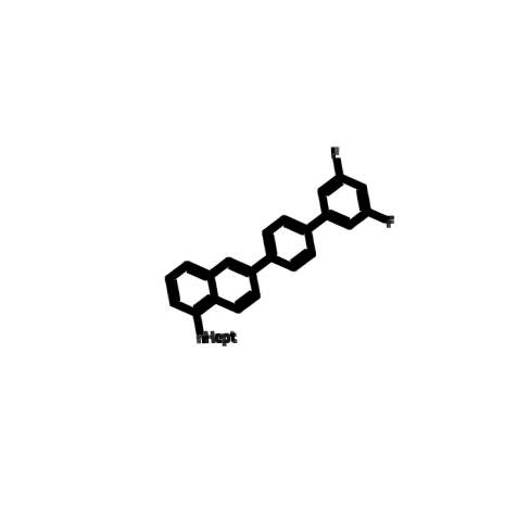 CCCCCCCc1cccc2cc(-c3ccc(-c4cc(F)cc(F)c4)cc3)ccc12